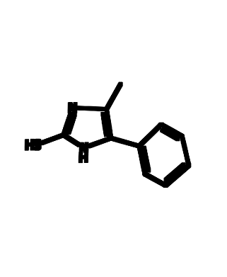 Cc1nc(S)[nH]c1-c1ccccc1